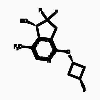 O[C@H]1c2c(C(F)(F)F)cnc(O[C@H]3C[C@H](F)C3)c2CC1(F)F